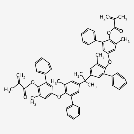 C=C(C)C(=O)Oc1c(C)cc(Oc2c(C)cc(C(C)(C)c3cc(C)c(Oc4cc(C)c(OC(=O)C(=C)C)c(-c5ccccc5)c4)c(-c4ccccc4)c3)cc2-c2ccccc2)cc1-c1ccccc1